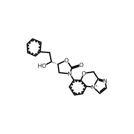 O=C1O[C@@H](C(O)Cc2ccccc2)CN1c1cccc2c1OCC1=NC=C[N+]12